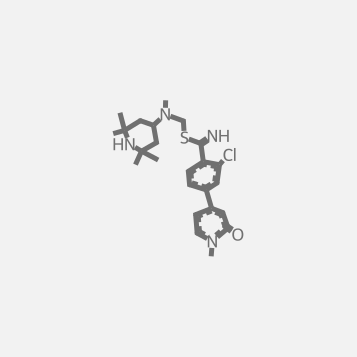 CN(CSC(=N)c1ccc(-c2ccn(C)c(=O)c2)cc1Cl)C1CC(C)(C)NC(C)(C)C1